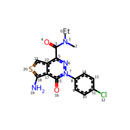 CCN(C)C(=O)c1nn(-c2ccc(Cl)cc2)c(=O)c2c(N)scc12